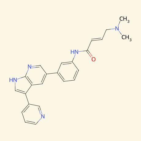 CN(C)CC=CC(=O)Nc1cccc(-c2cnc3[nH]cc(-c4cccnc4)c3c2)c1